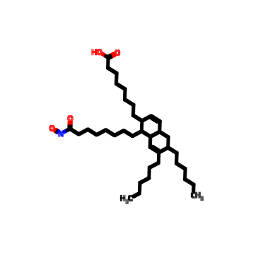 CCCCCCC1=CC2C(C=CC(CCCCCCCC(=O)O)C2CCCCCCCC(=O)N=O)CC1CCCCCC